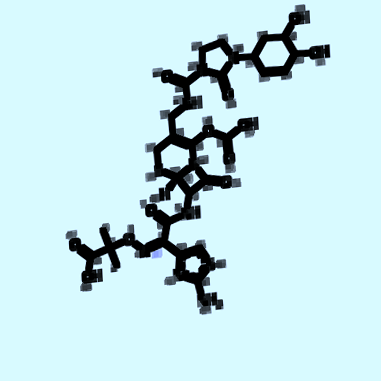 CC(C)(O/N=C(\C(=O)NC1C(=O)N2C(OC(=O)O)=C(CNC(=O)N3CCN(C4C=CC(O)C(O)C4)C3=O)CS[C@@H]12)c1csc(N)n1)C(=O)O